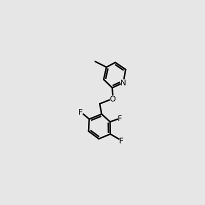 Cc1ccnc(OCc2c(F)ccc(F)c2F)c1